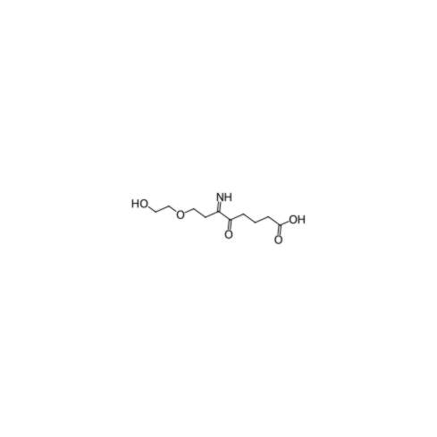 N=C(CCOCCO)C(=O)CCCC(=O)O